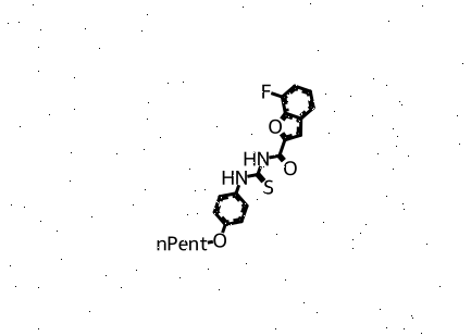 CCCCCOc1ccc(NC(=S)NC(=O)c2cc3cccc(F)c3o2)cc1